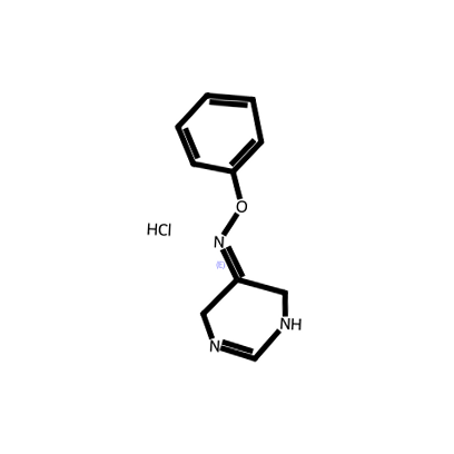 C1=NC/C(=N/Oc2ccccc2)CN1.Cl